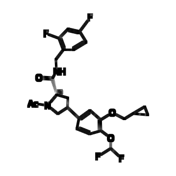 CC(=O)N1CC(c2ccc(OC(F)F)c(OCC3CC3)c2)C[C@H]1C(=O)NCc1ccc(F)cc1F